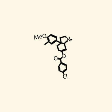 COc1ccc(C23CCC(OC(=O)c4ccc(Cl)cc4)=CC2N(C)CC3)cc1C